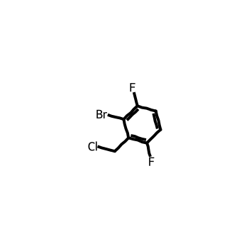 Fc1ccc(F)c(CCl)c1Br